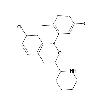 Cc1ccc(Cl)cc1B(OCC1CCCCN1)c1cc(Cl)ccc1C